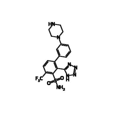 NS(=O)(=O)c1c(C(F)(F)F)ccc(-c2cccc(N3CCNCC3)c2)c1-c1nnn[nH]1